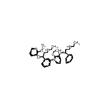 CCNCCC(Oc1cccnc1OC)c1cccc(-[n+]2cccc(OC(CCNCC)c3ccccc3)c2OCC)c1